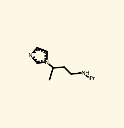 CC(C)NCCC(C)n1ccnc1